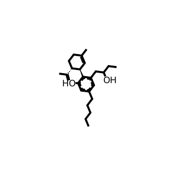 C=C(C)[C@@H]1CCC(C)=C[C@H]1c1c(O)cc(CCCCC)cc1CC(O)CC